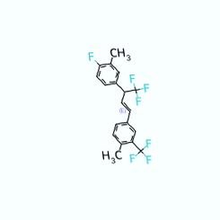 Cc1cc(C(/C=C/c2ccc(C)c(C(F)(F)F)c2)C(F)(F)F)ccc1F